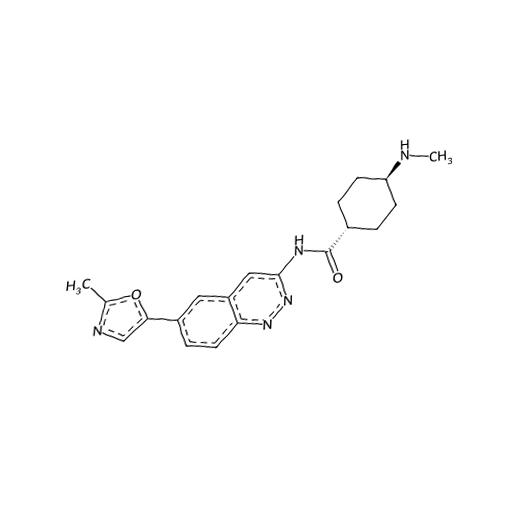 CN[C@H]1CC[C@H](C(=O)Nc2cc3cc(-c4cnc(C)o4)ccc3nn2)CC1